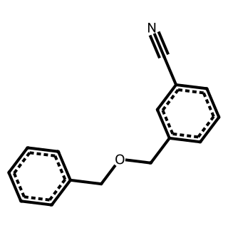 N#Cc1cccc(COCc2ccccc2)c1